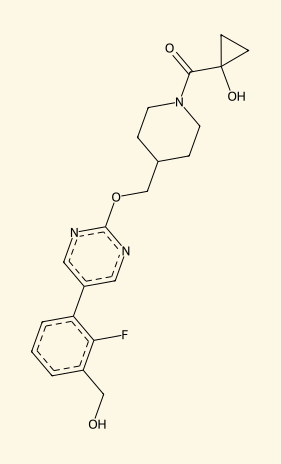 O=C(N1CCC(COc2ncc(-c3cccc(CO)c3F)cn2)CC1)C1(O)CC1